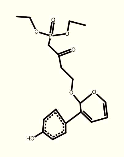 CCOP(=O)(CC(=O)CCOC1OC=CC=C1c1ccc(O)cc1)OCC